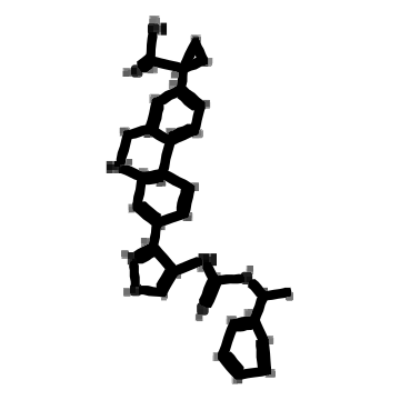 CC(OC(=O)Nc1conc1-c1ccc2c(c1)NCc1cc(C3(C(=O)O)CC3)ccc1-2)c1ccccc1